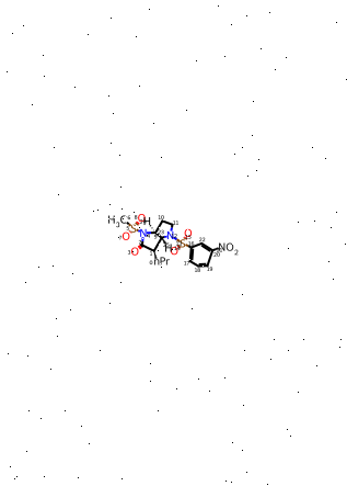 CCC[C@H]1C(=O)N(S(C)(=O)=O)[C@H]2CCN(S(=O)(=O)c3cccc([N+](=O)[O-])c3)[C@H]12